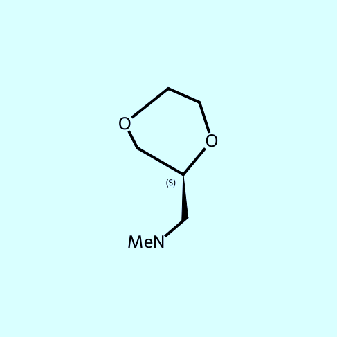 CNC[C@H]1COCCO1